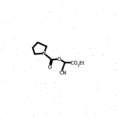 CCOC(=O)C(C#N)OC(=O)N1CCCC1